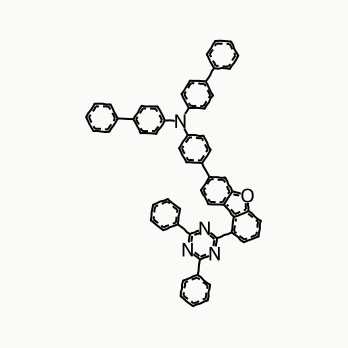 c1ccc(-c2ccc(N(c3ccc(-c4ccccc4)cc3)c3ccc(-c4ccc5c(c4)oc4cccc(-c6nc(-c7ccccc7)nc(-c7ccccc7)n6)c45)cc3)cc2)cc1